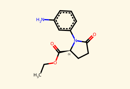 CCOC(=O)[C@@H]1CCC(=O)N1c1cccc(N)c1